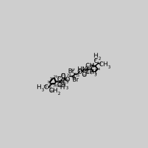 C=C(C)c1cccc(C(C)(C)NC(=O)OCC(Br)C(Br)COC(=O)NC(C)(C)c2cccc(C(=C)C)c2)c1